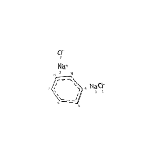 [Cl-].[Cl-].[Na+].[Na+].c1ccccc1